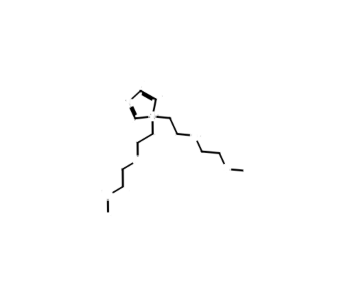 COCCOCC[N+]1(CCOCCOC)C=CN=C1.[I-]